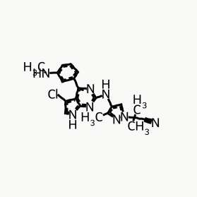 CNc1cccc(-c2nc(Nc3cn(C(C)(C)C#N)nc3C)nc3[nH]cc(Cl)c23)c1